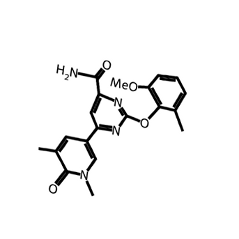 COc1cccc(C)c1Oc1nc(C(N)=O)cc(-c2cc(C)c(=O)n(C)c2)n1